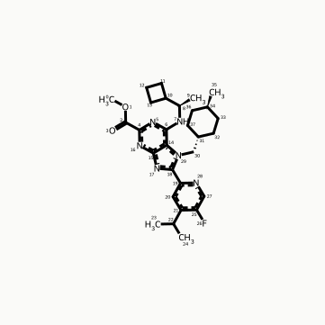 COC(=O)c1nc(N[C@H](C)C2CCC2)c2c(n1)nc(-c1cc(C(C)C)c(F)cn1)n2C[C@H]1CC[C@H](C)CC1